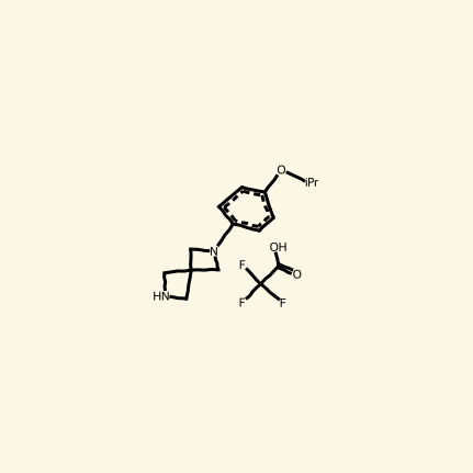 CC(C)Oc1ccc(N2CC3(CNC3)C2)cc1.O=C(O)C(F)(F)F